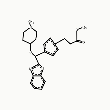 CN1CCC(OC(c2ccc(CCC(=O)OC(C)(C)C)cc2)c2nc3ccccc3s2)CC1